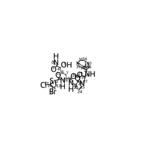 CNC(=O)C(O)CC[C@H](NC(=O)c1cc(Br)c(Cl)s1)C(=O)Nc1cccn(CC(=O)NC2C3CC4CC(C3)CC2C4)c1=O